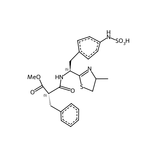 COC(=O)[C@@H](Cc1ccccc1)C(=O)N[C@@H](Cc1ccc(NS(=O)(=O)O)cc1)C1=NC(C)CS1